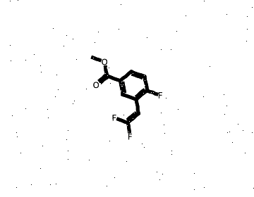 COC(=O)c1ccc(F)c(C=C(F)F)c1